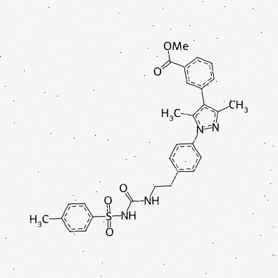 COC(=O)c1cccc(-c2c(C)nn(-c3ccc(CCNC(=O)NS(=O)(=O)c4ccc(C)cc4)cc3)c2C)c1